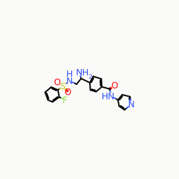 NC(CNS(=O)(=O)c1ccccc1F)c1ccc(C(=O)Nc2ccncc2)cc1